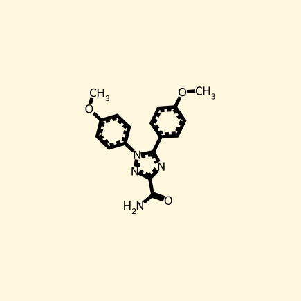 COc1ccc(-c2nc(C(N)=O)nn2-c2ccc(OC)cc2)cc1